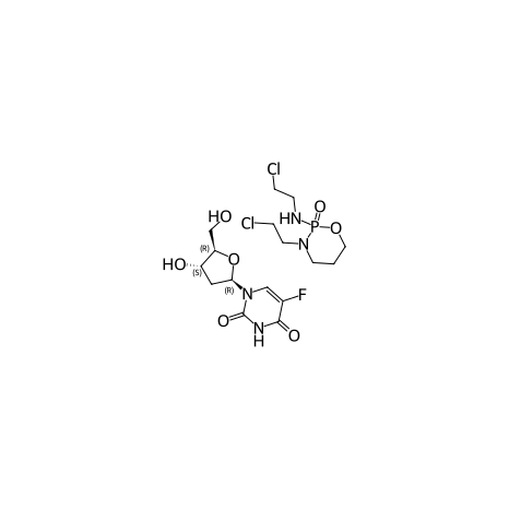 O=P1(NCCCl)OCCCN1CCCl.O=c1[nH]c(=O)n([C@H]2C[C@H](O)[C@@H](CO)O2)cc1F